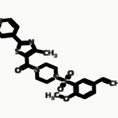 C=Cc1ccc(OC)c(S(=O)(=O)N2CCN(C(=O)c3sc(-c4ccncc4)nc3C)CC2)c1